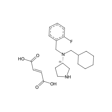 Fc1ccccc1CN(CC1CCCCC1)[C@H]1CCNC1.O=C(O)C=CC(=O)O